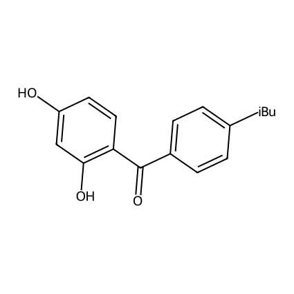 CCC(C)c1ccc(C(=O)c2ccc(O)cc2O)cc1